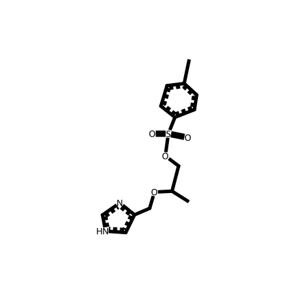 Cc1ccc(S(=O)(=O)OCC(C)OCc2c[nH]cn2)cc1